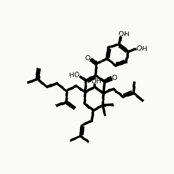 C=C(C)CCC(CC12CC(CC=C(C)C)C(C)(C)C(CC=C(C)C)(C(=O)C(C(=O)c3ccc(O)c(O)c3)=C1O)C2O)C(=C)C